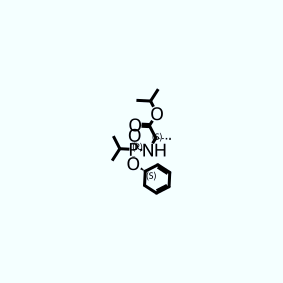 CC(C)OC(=O)[C@H](C)N[P@](=O)(O[C@@H]1C=CC=CC1)C(C)C